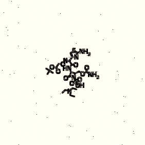 CC(C)(C)OC(=O)CO/N=C(\C(=O)N[C@@H]1C(=O)N(S(=O)(=O)O)[C@@H]1COC(N)=O)c1csc(N)n1.CCN(CC)CC